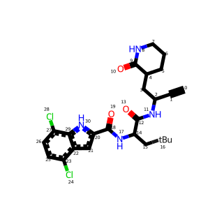 C#CC(CC1CCCNC1=O)NC(=O)C(CC(C)(C)C)NC(=O)c1cc2c(Cl)ccc(Cl)c2[nH]1